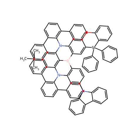 CC(C)(C)c1cc2c3c(c1)N(c1c(-c4ccccc4)cccc1-c1ccccc1)c1cc4c(cc1B3c1ccc(-n3c5ccccc5c5ccccc53)cc1N2c1c(-c2ccccc2)cccc1-c1ccccc1)[Si](c1ccccc1)(c1ccccc1)c1ccccc1O4